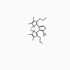 CCCC1=C(C2=CC[C]([Zr])=C2C2=C(CCC)C(C)=C(C)C2(C)C)C(C)(C)C(C)=C1C